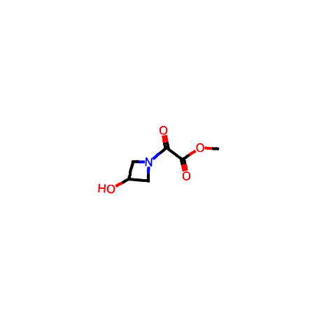 COC(=O)C(=O)N1CC(O)C1